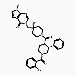 Cn1ccc2c(=O)n(CC3(O)CCN(C(=O)[C@@H]4CCN(C(=O)c5ccccc5Br)C[C@H]4c4ccccc4)CC3)cnc21